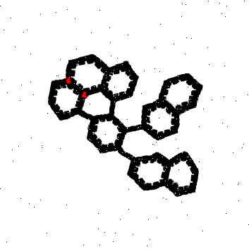 c1ccc(-c2ccc(-c3ccc4ccccc4c3)c(-c3ccc4ccccc4c3)c2-c2cccc3ccccc23)cc1